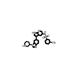 N#Cc1cccc(S(=O)(=O)Nc2cnc3[nH]cc(-c4ccc5ncn(C6CCCNC6)c5c4)c3c2)c1